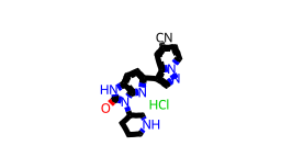 Cl.N#Cc1ccn2ncc(-c3ccc4[nH]c(=O)n(C5CCCNC5)c4n3)c2c1